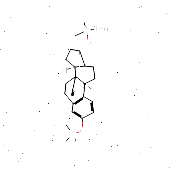 C=CC12CCc3cc(O[Si](C)(C)C(C)(C)C)ccc3[C@H]1CC[C@]1(C)[C@@H](O[Si](C)(C)C(C)(C)C)CC[C@@H]21